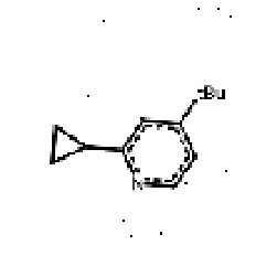 CC(C)(C)c1ccnc(C2CC2)c1